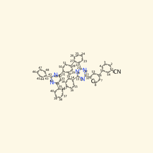 N#Cc1cccc(-c2cccc(-c3nc(-c4ccccc4)nc(-c4ccccc4-c4ccc(-c5cc(-c6ccccc6)nc(-c6ccccc6)n5)cc4)n3)c2)c1